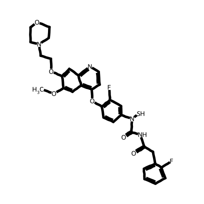 COc1cc2c(Oc3ccc(N(S)C(=O)NC(=O)Cc4ccccc4F)cc3F)ccnc2cc1OCCN1CCOCC1